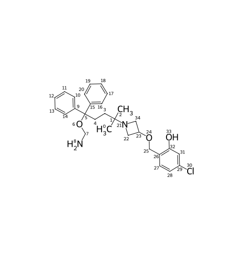 CC(C)(CCC(OCN)(c1ccccc1)c1ccccc1)N1CC(OCc2ccc(Cl)cc2O)C1